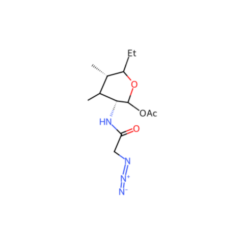 CCC1OC(OC(C)=O)[C@H](NC(=O)CN=[N+]=[N-])C(C)[C@@H]1C